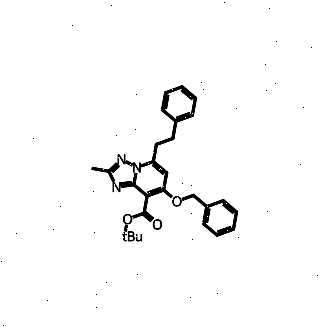 Cc1nc2c(C(=O)OC(C)(C)C)c(OCc3ccccc3)cc(CCc3ccccc3)n2n1